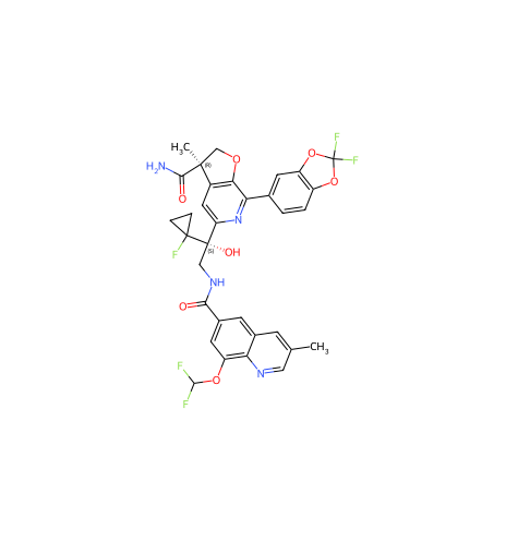 Cc1cnc2c(OC(F)F)cc(C(=O)NC[C@](O)(c3cc4c(c(-c5ccc6c(c5)OC(F)(F)O6)n3)OC[C@]4(C)C(N)=O)C3(F)CC3)cc2c1